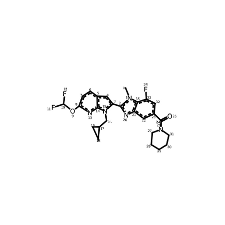 Cn1c(-c2cc3ccc(OC(F)F)nc3n2CC2CC2)nc2cc(C(=O)N3CCCCC3)cc(F)c21